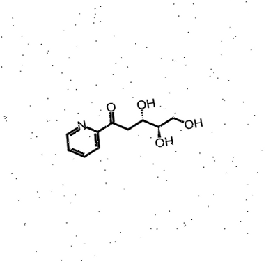 O=C(C[C@H](O)[C@H](O)CO)c1ccccn1